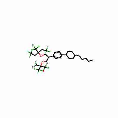 CCCCCC1CCC(c2ccc(C(COC(CC(F)(F)F)(CC(F)(F)F)C(F)(F)F)COC(C(F)F)(C(F)(F)F)C(F)(F)F)cc2)CC1